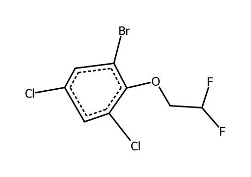 FC(F)COc1c(Cl)cc(Cl)cc1Br